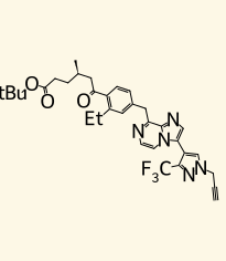 C#CCn1cc(-c2cnc3c(Cc4ccc(C(=O)C[C@H](C)CCC(=O)OC(C)(C)C)c(CC)c4)nccn23)c(C(F)(F)F)n1